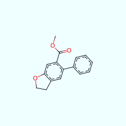 COC(=O)c1cc2c(cc1-c1ccccc1)CCO2